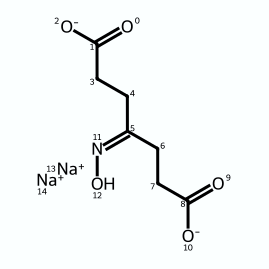 O=C([O-])CCC(CCC(=O)[O-])=NO.[Na+].[Na+]